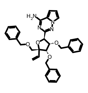 C=C[C@]1(COCc2ccccc2)O[C@@H](c2nc(N)c3cccn3n2)[C@H](OCc2ccccc2)[C@@H]1OCc1ccccc1